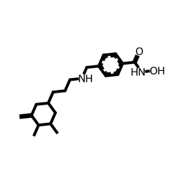 C=C1CC(CCCNCc2ccc(C(=O)NO)cc2)CC(C)C1C